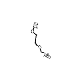 CCCCCOCCOCC